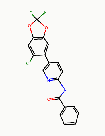 O=C(Nc1ccc(-c2cc3c(cc2Cl)OC(F)(F)O3)cn1)c1ccccc1